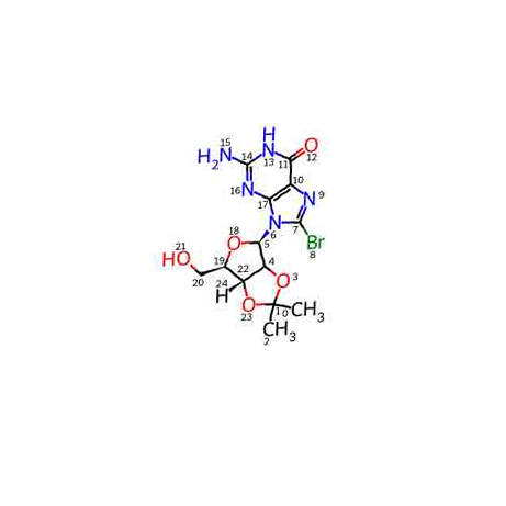 CC1(C)OC2[C@H](n3c(Br)nc4c(=O)[nH]c(N)nc43)O[C@H](CO)[C@H]2O1